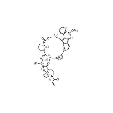 C=CC(=O)N1CCN(C(=O)N(C)[C@H](C(=O)N[C@H]2Cc3nc(cs3)-c3ccc4c(c3)c(c(-c3cccnc3[C@H](C)OC)n4CC)CC(C)(C)COC(=O)[C@@H]3CCCN(N3)C2=O)C(C)C)[C@H]2CC[C@H]21